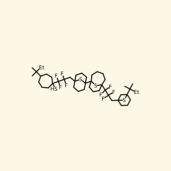 CCC(C)(C)C1CCCC(S)(C(F)(F)C(F)(F)CC23CCCC(C45CCCCC(C(F)(F)C(F)(F)CC67CCCC(C(C)(C)CC)(C6)S7)(CCC4)S5)(CCC2)S3)CC1